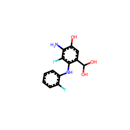 Nc1c(O)cc(C(O)O)c(Nc2ccccc2F)c1F